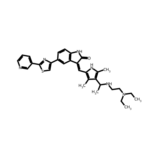 CCN(CC)CCNC(C)c1c(C)[nH]c(/C=C2\C(=O)Nc3ccc(-c4csc(-c5cccnc5)n4)cc32)c1C